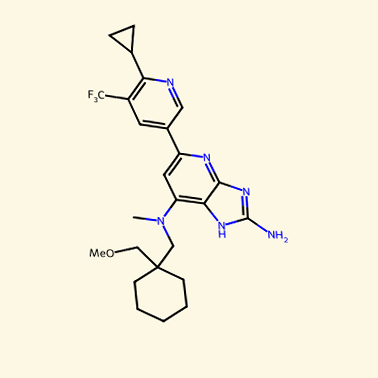 COCC1(CN(C)c2cc(-c3cnc(C4CC4)c(C(F)(F)F)c3)nc3nc(N)[nH]c23)CCCCC1